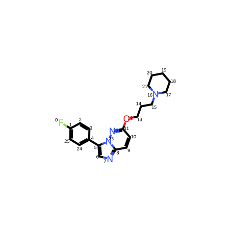 Fc1ccc(-c2cnc3ccc(OCCCN4CCCCC4)nn23)cc1